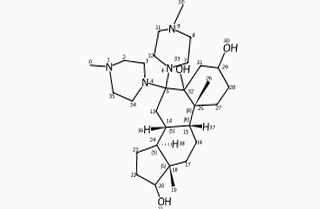 CN1CCN(C2(N3CCN(C)CC3)C[C@@H]3[C@@H](CC[C@]4(C)C(O)CC[C@@H]34)[C@@]3(C)CCC(O)CC23O)CC1